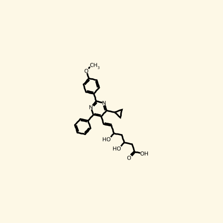 COc1ccc(-c2nc(-c3ccccc3)c(/C=C/C(O)CC(O)CC(=O)O)c(C3CC3)n2)cc1